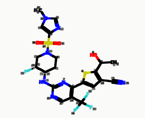 CC(O)c1sc(-c2nc(N[C@H]3CCN(S(=O)(=O)c4cn(C)cn4)C[C@H]3F)ncc2C(F)(F)F)cc1C#N